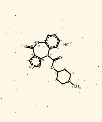 CN1CCC(OC(=O)N2c3ccccc3NC(=O)c3cscc32)CC1.Cl